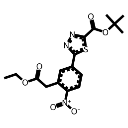 CCOC(=O)Cc1cc(-c2nnc(C(=O)OC(C)(C)C)s2)ccc1[N+](=O)[O-]